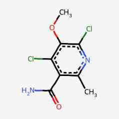 COc1c(Cl)nc(C)c(C(N)=O)c1Cl